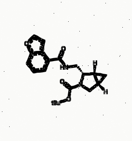 CC(C)(C)OC(=O)N1C[C@H]2C[C@H]2[C@H]1CNC(=O)c1cccc2occc12